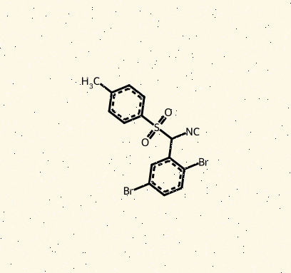 [C-]#[N+]C(c1cc(Br)ccc1Br)S(=O)(=O)c1ccc(C)cc1